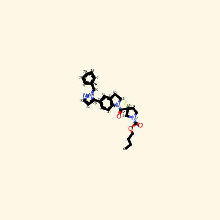 CCCCOC(=O)N1CCC(F)(C(=O)N2CCc3cc(-c4ccnn4Cc4ccccc4)ccc32)C1